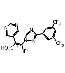 CC(C)/C(=C(\C(=O)O)c1cncnc1)n1cnc(-c2cc(C(F)(F)F)cc(C(F)(F)F)c2)n1